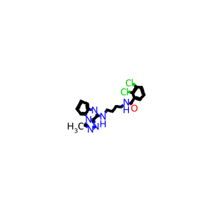 Cc1nnc2c(NCCCCNC(=O)c3cccc(Cl)c3Cl)nc3ccccc3n12